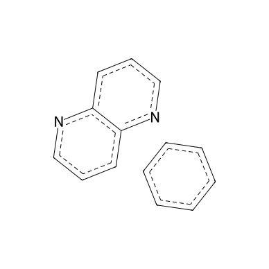 c1ccccc1.c1cnc2cccnc2c1